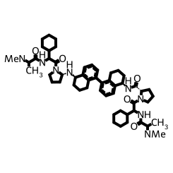 CNC(C)C(=O)NC(C(=O)N1CCC[C@H]1N[C@@H]1CCCc2c(-c3cccc4c3CCC[C@H]4NC(=O)[C@@H]3CCCN3C(=O)C(NC(=O)C(C)NC)C3CCCCC3)cccc21)C1CCCCC1